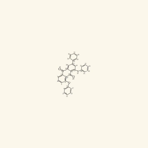 O=C1c2cccc(Sc3ccccc3)c2C(=O)c2c(Sc3ccccc3)cc(-c3ccccc3)cc21